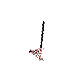 CCCCCCCCCCCCCCCC[SiH](O[SiH2]O[SiH2]O[SiH3])O[Si](C)(C)O[Si](C)(C)O[Si](C)(C)C